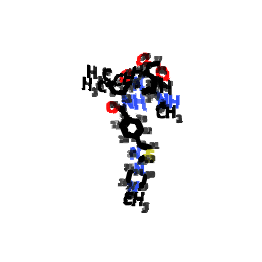 CN[C@H]1CN(C(=O)C(CC(C)(C)C)NC(=O)c2ccc(-c3csc(N4CCN(C)CC4)n3)cc2)[C@@H]2C(=O)CO[C@H]12